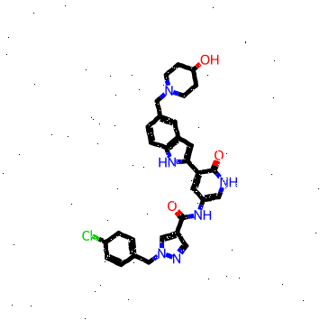 O=C(Nc1c[nH]c(=O)c(-c2cc3cc(CN4CCC(O)CC4)ccc3[nH]2)c1)c1cnn(CC2=CCC(Cl)C=C2)c1